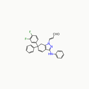 O=CC=Cn1nc(Nc2ccccc2)c2c1CC(c1ccccc1)(c1ccc(F)c(F)c1)C=C2